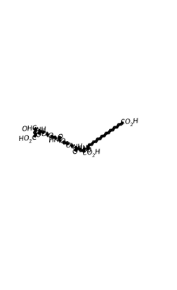 O=CC(CCC(=O)O)NC(=O)COCCOCCNC(=O)COCCOCCNC(=O)CCC(NC(=O)CCCCCCCCCCCCCCCCC(=O)O)C(=O)O